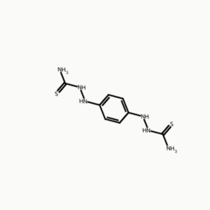 NC(=S)NNc1ccc(NNC(N)=S)cc1